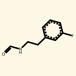 O=CNCCc1cccc(F)c1